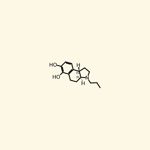 CCCN1CC[C@H]2c3ccc(O)c(O)c3CC[C@@H]21